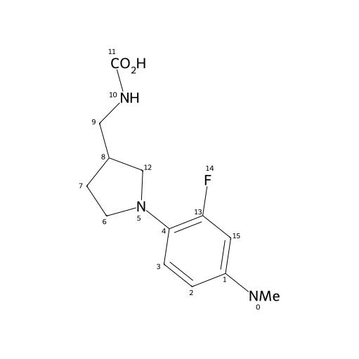 CNc1ccc(N2CCC(CNC(=O)O)C2)c(F)c1